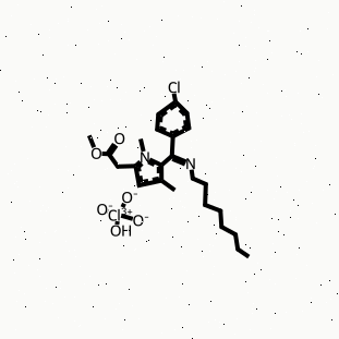 CCCCCCCCN=C(c1ccc(Cl)cc1)c1c(C)cc(CC(=O)OC)n1C.[O-][Cl+3]([O-])([O-])O